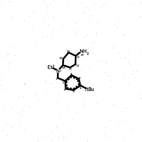 CCN(Cc1ccc(C(C)(C)C)cc1)C1CCC(N)CC1